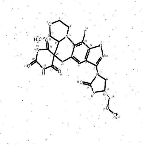 C[C@@H]1OCCN2c3c(cc4c(N5C[C@H](COC(F)(F)F)SC5=O)noc4c3F)CC3(C(=O)NC(=O)NC3=O)C12